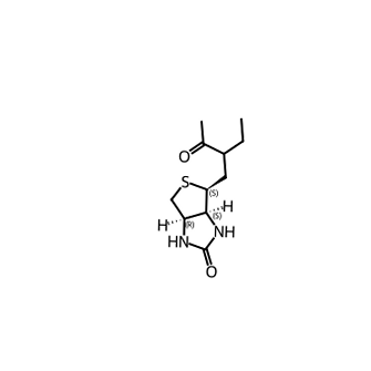 CCC(C[C@@H]1SC[C@@H]2NC(=O)N[C@@H]21)C(C)=O